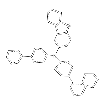 c1ccc(-c2ccc(N(c3ccc(-c4cccc5ccccc45)cc3)c3ccc4sc5ccccc5c4c3)cc2)cc1